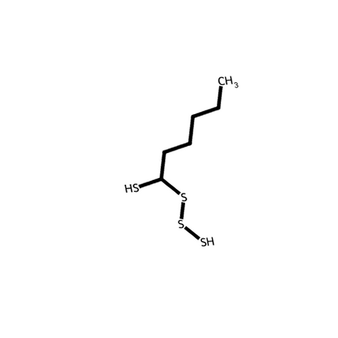 CCCCCC(S)SSS